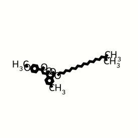 COc1ccc(C(=O)CC(=O)c2ccc(C)cc2C(=O)OCCCCCCCCCCCCCCCC(C)C)cc1